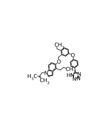 C=C(C)Cn1ccc2c(CCC)c(OCc3cc(Oc4ccc(-c5nnn[nH]5)cc4)ccc3CC)ccc21